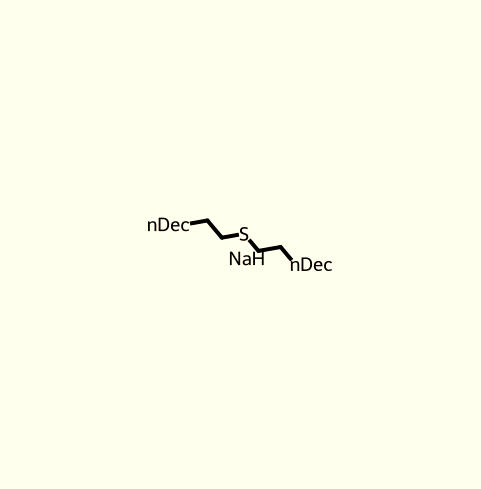 CCCCCCCCCCCCSCCCCCCCCCCCC.[NaH]